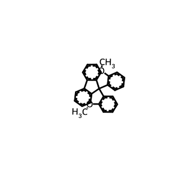 COc1ccccc1C1(c2ccccc2OC)c2ccccc2-c2ccccc21